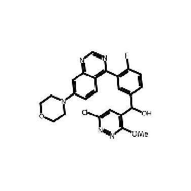 COc1nnc(Cl)cc1C(O)c1ccc(F)c(-c2ncnc3cc(N4CCOCC4)ccc23)c1